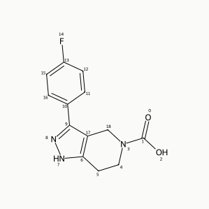 O=C(O)N1CCc2[nH]nc(-c3ccc(F)cc3)c2C1